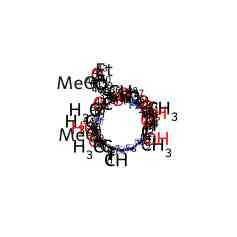 C#C[C@@H]1/C=C/C=C/C=C(\C)[C@@H](O)C[C@@H]2CC[C@@H](C)[C@@](O)(O2)C(=O)C(=O)N2CCCC[C@H]2C(=O)O[C@H]([C@H](C)C[C@@H]2CC[C@@H](OCC)[C@H](OC)C2)CC(=O)[C@H](C)/C=C(\C)[C@@H](O)[C@@H](OC)C(=O)[C@H](C)C1